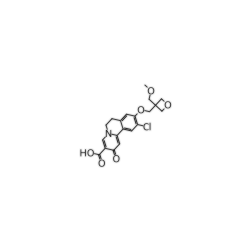 COCC1(COc2cc3c(cc2Cl)-c2cc(=O)c(C(=O)O)cn2CC3)COC1